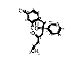 C=CCC(=O)CC(O)(Cc1ccc(Cl)cc1Cl)c1cccnc1